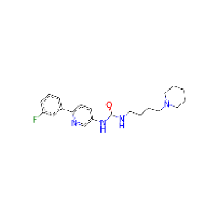 O=C(NCCCCN1CCCCC1)Nc1ccc(-c2cccc(F)c2)nc1